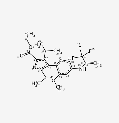 CCOC(=O)c1nn(CC)c(-c2ccc(N[C@H](C)C(F)(F)F)cc2OC)c1C(C)C